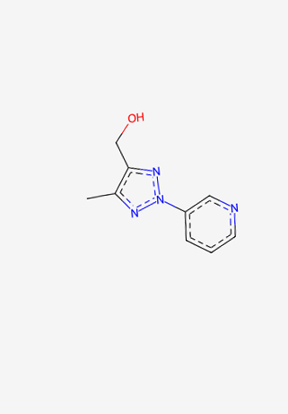 Cc1nn(-c2cccnc2)nc1CO